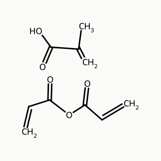 C=C(C)C(=O)O.C=CC(=O)OC(=O)C=C